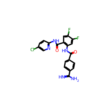 N=C(N)c1ccc(C(=O)Nc2cc(F)c(F)cc2C(=O)Nc2ccc(Cl)cn2)cc1